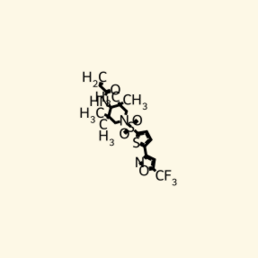 C=CC(=O)NC1C(C)(C)CN(S(=O)(=O)c2ccc(-c3cc(C(F)(F)F)on3)s2)CC1(C)C